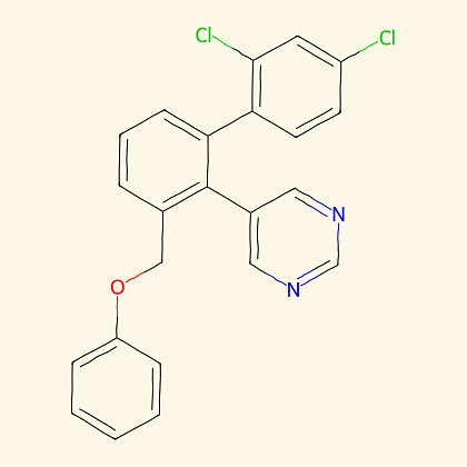 Clc1ccc(-c2cccc(COc3ccccc3)c2-c2cncnc2)c(Cl)c1